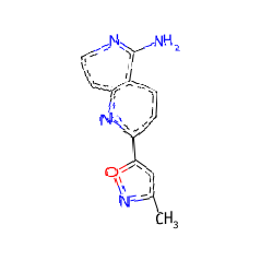 Cc1cc(-c2ccc3c(N)nccc3n2)on1